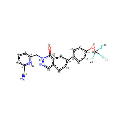 N#Cc1cccc(Cn2ncc3ccc(-c4ccc(OC(F)(F)F)cc4)cc3c2=O)n1